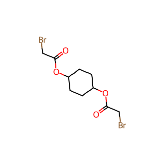 O=C(CBr)OC1CCC(OC(=O)CBr)CC1